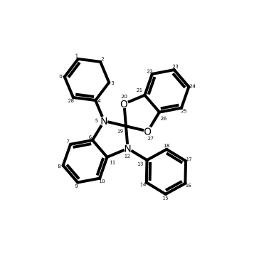 C1=CCCC(N2c3ccccc3N(c3ccccc3)C23Oc2ccccc2O3)=C1